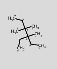 [CH2]CC(C)(CC)C(C)(C)CC